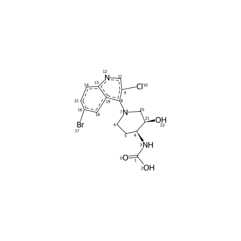 O=C(O)N[C@H]1CCN(c2c(Cl)cnc3ccc(Br)cc23)C[C@H]1O